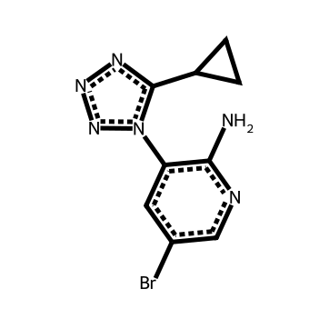 Nc1ncc(Br)cc1-n1nnnc1C1CC1